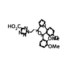 COc1cccc([C@H]2O[C@H](CCn3nnc(C(=O)O)n3)c3cccn3-c3ccc(Cl)cc32)c1OC